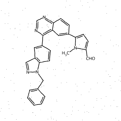 Cn1c(C=O)ccc1-c1ccc2ncnc(-c3ccc4c(cnn4Cc4ccccc4)c3)c2c1